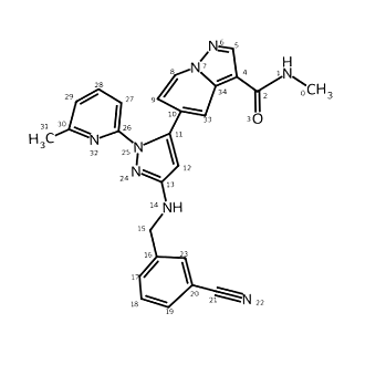 CNC(=O)c1cnn2ccc(-c3cc(NCc4cccc(C#N)c4)nn3-c3cccc(C)n3)cc12